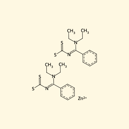 CCN(CC)C(=NC(=S)[S-])c1ccccc1.CCN(CC)C(=NC(=S)[S-])c1ccccc1.[Zn+2]